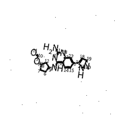 Nc1nc(N[C@@H]2CC[C@@H](OC=O)C2)c2ccc(-c3ccn[nH]3)cc2n1